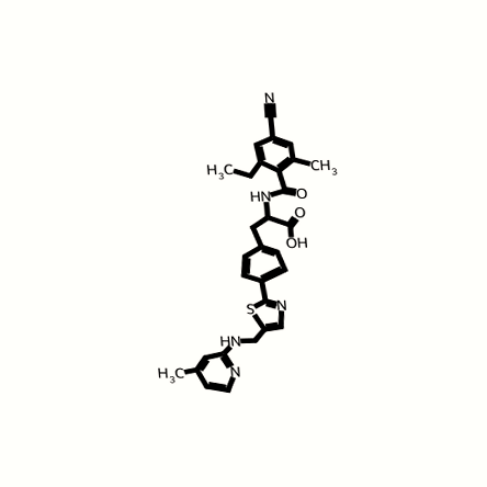 CCc1cc(C#N)cc(C)c1C(=O)NC(Cc1ccc(-c2ncc(CNc3cc(C)ccn3)s2)cc1)C(=O)O